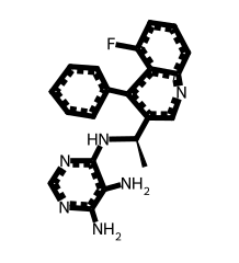 C[C@@H](Nc1ncnc(N)c1N)c1cnc2cccc(F)c2c1-c1ccccc1